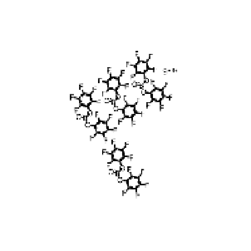 [O-]B(Oc1c(F)c(F)c(F)c(F)c1F)Oc1c(F)c(F)c(F)c(F)c1F.[O-]B(Oc1c(F)c(F)c(F)c(F)c1F)Oc1c(F)c(F)c(F)c(F)c1F.[O-]B(Oc1c(F)c(F)c(F)c(F)c1F)Oc1c(F)c(F)c(F)c(F)c1F.[O-]B(Oc1c(F)c(F)c(F)c(F)c1F)Oc1c(F)c(F)c(F)c(F)c1F.[Sn+4]